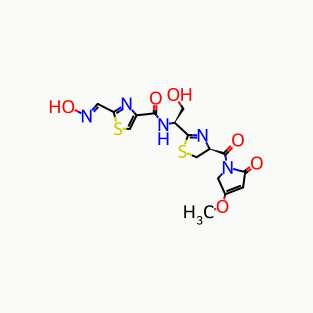 COC1=CC(=O)N(C(=O)[C@H]2CSC([C@H](CO)NC(=O)c3csc(/C=N/O)n3)=N2)C1